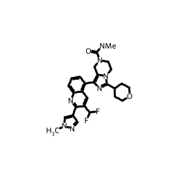 CNC(=O)N1CCn2c(C3CCOCC3)nc(-c3cccc4nc(-c5cnn(C)c5)c(C(F)F)cc34)c2C1